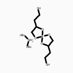 CCCC[NH2+]CCCC.SCCC1CO[B-]2(OCC(CCS)O2)O1